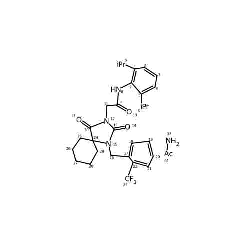 CC(C)c1cccc(C(C)C)c1NC(=O)CN1C(=O)N(Cc2ccccc2C(F)(F)F)C2(CCCCC2)C1=O.CC(N)=O